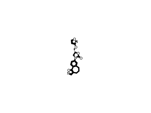 O=C1O[C@@H](COc2ccon2)CN1c1ccc2c(c1)CCCc1cnoc1-2